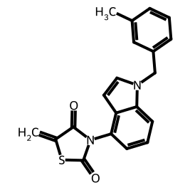 C=C1SC(=O)N(c2cccc3c2ccn3Cc2cccc(C)c2)C1=O